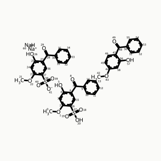 COc1cc(O)c(C(=O)c2ccccc2)cc1S(=O)(=O)O.COc1cc(O)c(C(=O)c2ccccc2)cc1S(=O)(=O)[O-].COc1ccc(C(=O)c2ccccc2)c(O)c1.[Na+].[NaH]